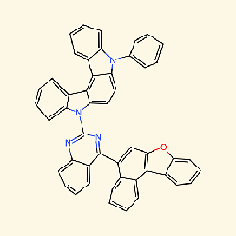 c1ccc(-n2c3ccccc3c3c4c5ccccc5n(-c5nc(-c6cc7oc8ccccc8c7c7ccccc67)c6ccccc6n5)c4ccc32)cc1